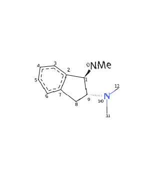 CN[C@@H]1c2ccccc2C[C@H]1N(C)C